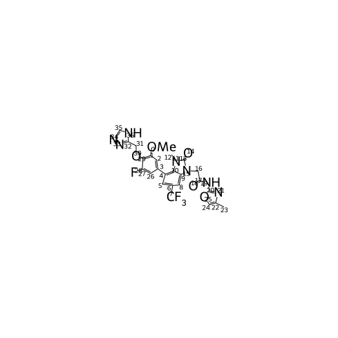 COc1cc(-c2cc(C(F)(F)F)cc3c2n(C)c(=O)n3CC(=O)Nc2nc(C)co2)cc(F)c1OCc1nnc[nH]1